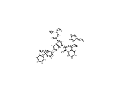 CC(C)OC(=O)n1nc(NC(=O)c2ccccc2NC(=O)c2ccnn2C)c2oc(C(=O)NC(C)(C)c3ccccc3)cc21